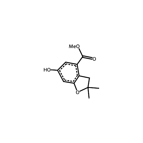 COC(=O)c1cc(O)cc2c1CC(C)(C)O2